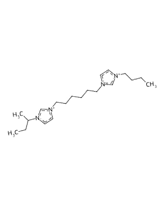 CCCC[n+]1ccn(CCCCCC[n+]2ccn(C(C)CC)c2)c1